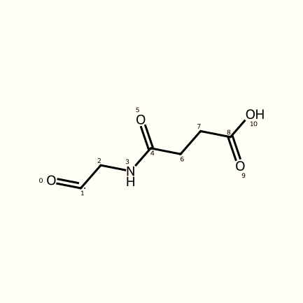 O=[C]CNC(=O)CCC(=O)O